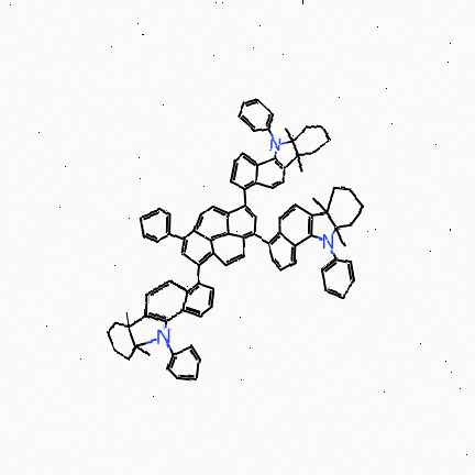 CC12CCCCC1(C)N(c1ccccc1)c1c2ccc2c(-c3cc(-c4ccccc4)c4ccc5c(-c6cccc7c8c(ccc67)C6(C)CCCCC6(C)N8c6ccccc6)cc(-c6cccc7c8c(ccc67)C6(C)CCCCC6(C)N8c6ccccc6)c6ccc3c4c56)cccc12